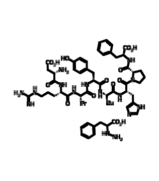 CC[C@H](C)[C@H](NC(=O)[C@H](Cc1ccc(O)cc1)NC(=O)[C@@H](NC(=O)[C@H](CCCNC(=N)N)NC(=O)[C@@H](N)CC(=O)O)C(C)C)C(=O)N[C@@H](Cc1cnc[nH]1)C(=O)N1CCC[C@H]1C(=O)N[C@@H](Cc1ccccc1)C(=O)O.NNC(Cc1ccccc1)C(=O)O